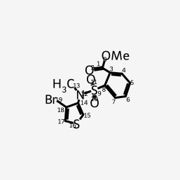 COC(=O)c1ccccc1S(=O)(=O)N(C)c1cscc1Br